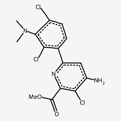 COC(=O)c1nc(-c2ccc(Cl)c(N(C)C)c2Cl)cc(N)c1Cl